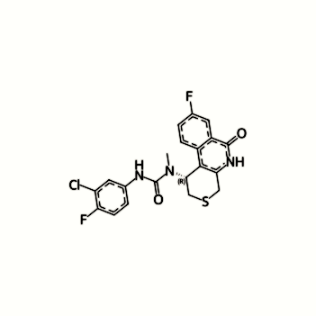 CN(C(=O)Nc1ccc(F)c(Cl)c1)[C@H]1CSCc2[nH]c(=O)c3cc(F)ccc3c21